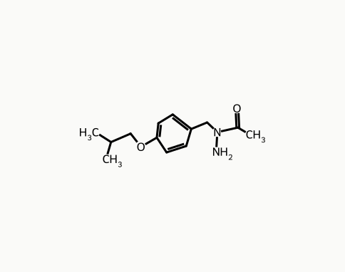 CC(=O)N(N)Cc1ccc(OCC(C)C)cc1